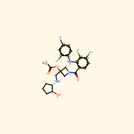 CC(=O)OC1(CN[C@H]2CCC[C@@H]2O)CN(C(=O)c2ccc(F)c(F)c2Nc2ccc(I)cc2F)C1